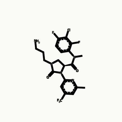 Cc1cc(C(F)(F)F)cc(N2C(=O)N(CCCN)C[C@H]2C(=O)N(C)c2ccc(F)c(Cl)c2F)n1